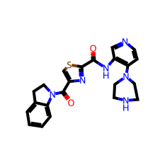 O=C(Nc1cnccc1N1CCNCC1)c1nc(C(=O)N2CCc3ccccc32)cs1